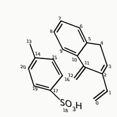 C=CC1=CCc2ccccc2C1=C.Cc1ccc(S(=O)(=O)O)cc1